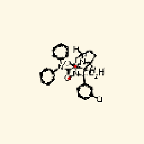 CN(Cc1cccc(Cl)c1)C(=O)N1[C@H]2CC[C@@H]1[C@@H](C(=O)O)N(C(=O)N(c1ccccc1)c1ccccc1)C2